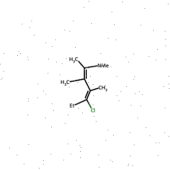 CC/C(Cl)=C(C)\C(C)=C(\C)NC